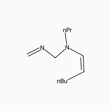 C=NCN(/C=C\CCCC)CCC